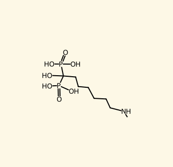 CNCCCCCCC(O)(P(=O)(O)O)P(=O)(O)O